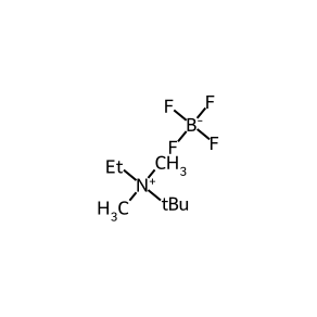 CC[N+](C)(C)C(C)(C)C.F[B-](F)(F)F